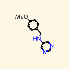 COc1ccc(CNc2cncnc2)cc1